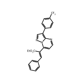 CCOC(=O)/C(=C\c1ccccc1)c1ccnc2c(-c3ccc(C(F)(F)F)cc3)cnn12